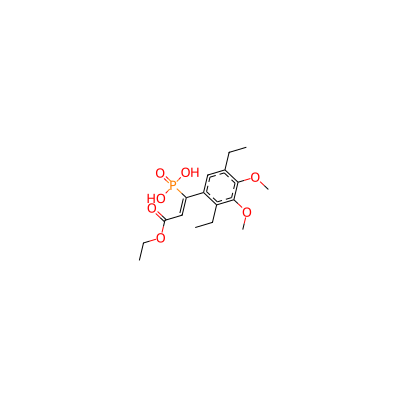 CCOC(=O)C=C(c1cc(CC)c(OC)c(OC)c1CC)P(=O)(O)O